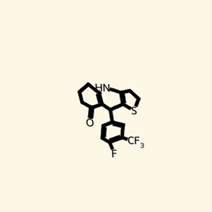 O=C1CCCC2=C1C(c1ccc(F)c(C(F)(F)F)c1)C1=C(CCS1)N2